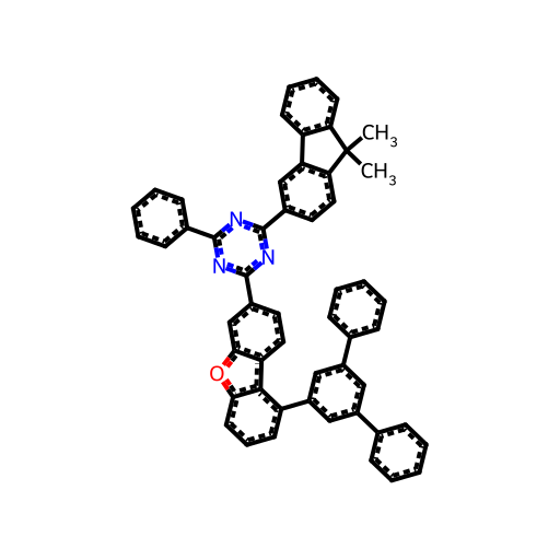 CC1(C)c2ccccc2-c2cc(-c3nc(-c4ccccc4)nc(-c4ccc5c(c4)oc4cccc(-c6cc(-c7ccccc7)cc(-c7ccccc7)c6)c45)n3)ccc21